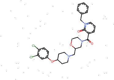 O=C(c1cccn(Cc2ccccc2)c1=O)N1CCOC(CN2CCC(Oc3ccc(Cl)c(Cl)c3)CC2)C1